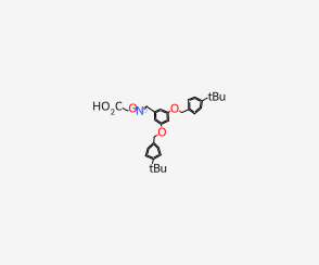 CC(C)(C)c1ccc(COc2cc(/C=N/OCC(=O)O)cc(OCc3ccc(C(C)(C)C)cc3)c2)cc1